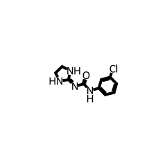 O=C(N=C1NCCN1)Nc1cccc(Cl)c1